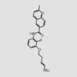 CCCCC=CCCOc1cccc(NC(=O)c2ccc3nc(C)ccc3c2)c1F